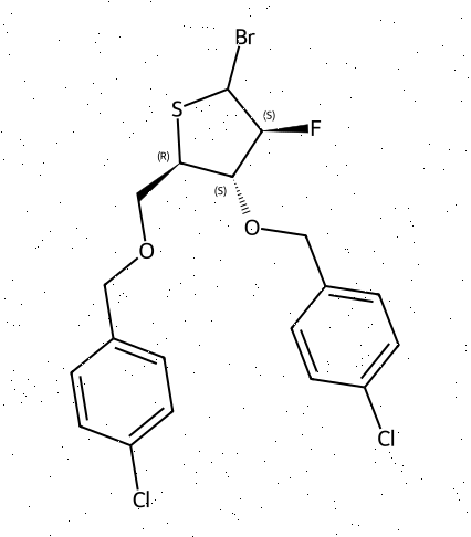 F[C@@H]1C(Br)S[C@H](COCc2ccc(Cl)cc2)[C@H]1OCc1ccc(Cl)cc1